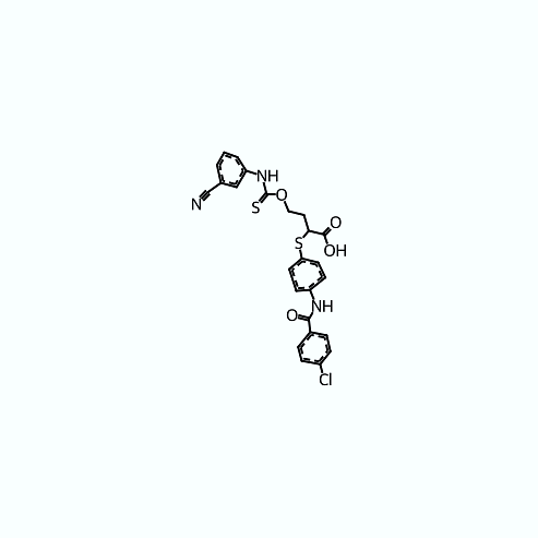 N#Cc1cccc(NC(=S)OCCC(Sc2ccc(NC(=O)c3ccc(Cl)cc3)cc2)C(=O)O)c1